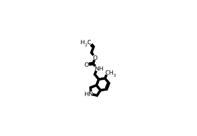 C=CCOC(=O)NCC1C(C)C=CC2CNCC21